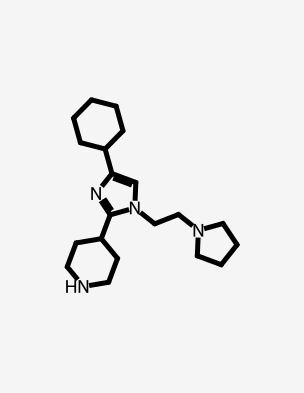 c1c(C2CCCCC2)nc(C2CCNCC2)n1CCN1CCCC1